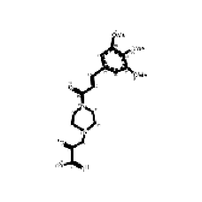 CCCC(=N)C(=O)CN1CCN(C(=O)/C=C/c2cc(OC)c(OC)c(OC)c2)CC1